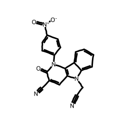 N#CCn1c2ccccc2c2c1cc(C#N)c(=O)n2-c1ccc([N+](=O)[O-])cc1